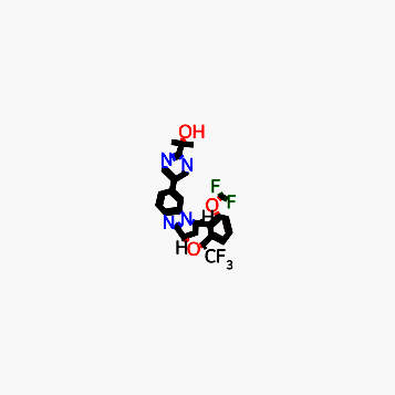 CC(C)(O)c1ncc(-c2ccc3nc4n(c3c2)[C@@H]2C[C@H]4O[C@H](C(F)(F)F)c3cccc(OC(F)F)c32)cn1